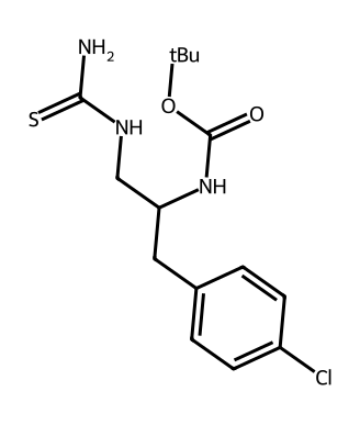 CC(C)(C)OC(=O)NC(CNC(N)=S)Cc1ccc(Cl)cc1